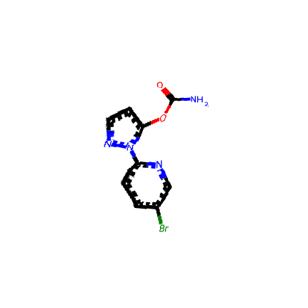 NC(=O)Oc1ccnn1-c1ccc(Br)cn1